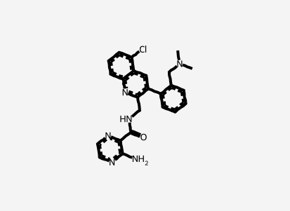 CN(C)Cc1ccccc1-c1cc2c(Cl)cccc2nc1CNC(=O)c1nccnc1N